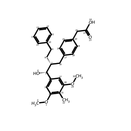 COc1cc([C@H](O)[C@H](CCc2ccccc2)Cc2ccc(CC(=O)O)cc2)cc(OC)c1C